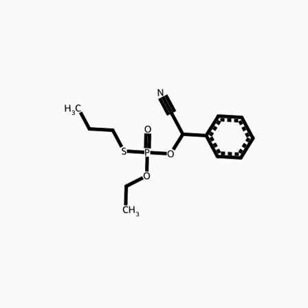 CCCSP(=O)(OCC)OC(C#N)c1ccccc1